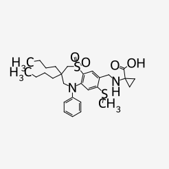 CCCCC1(CCCC)CN(c2ccccc2)c2cc(SC)c(CNC3(C(=O)O)CC3)cc2S(=O)(=O)C1